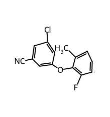 Cc1cc[c]c(F)c1Oc1cc(Cl)cc(C#N)c1